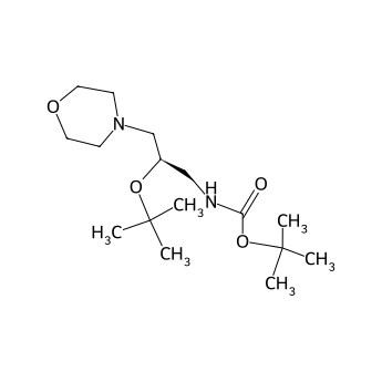 CC(C)(C)OC(=O)NC[C@H](CN1CCOCC1)OC(C)(C)C